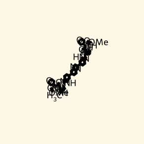 COC(=O)N[C@H](C(=O)N1[C@H](c2nc3ccc(-c4cnc5cc(-c6ccc7nc([C@@H]8C[C@H]9[C@@H](C)[C@H]9N8C(=O)[C@@H](NC(=O)OC)C8CCOCC8)[nH]c7c6)ccc5n4)cc3[nH]2)C2C3[C@H]2[C@@H]31)C1CCOCC1